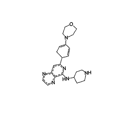 C1=CC(c2cc3nccnc3c(NC3CCNCC3)n2)CC=C1N1CCOCC1